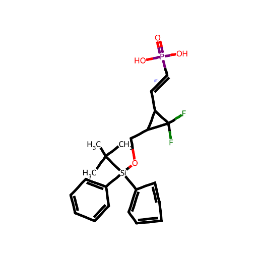 CC(C)(C)[Si](OCC1C(/C=C/P(=O)(O)O)C1(F)F)(c1ccccc1)c1ccccc1